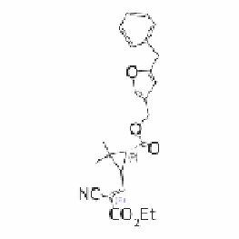 CCOC(=O)/C(C#N)=C/C1[C@@H](C(=O)OCc2coc(Cc3ccccc3)c2)C1(C)C